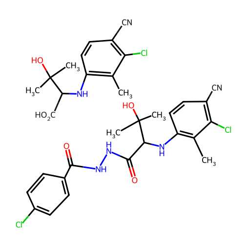 Cc1c(NC(C(=O)NNC(=O)c2ccc(Cl)cc2)C(C)(C)O)ccc(C#N)c1Cl.Cc1c(NC(C(=O)O)C(C)(C)O)ccc(C#N)c1Cl